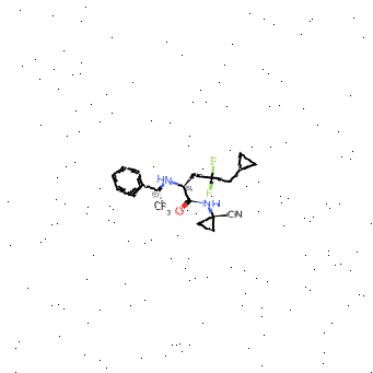 N#CC1(NC(=O)[C@H](CC(F)(F)CC2CC2)N[C@@H](c2ccccc2)C(F)(F)F)CC1